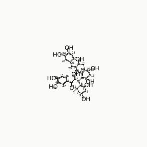 CC12CC(O)=CC(O)=C1C(c1c(O)cc(O)c3c1O/C(=C/c1ccc(O)c(O)c1)[C@@H](O)C3)[C@H](O)C(c1ccc(O)c(O)c1)O2